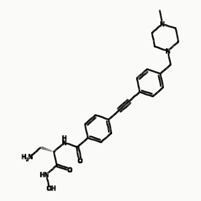 CN1CCN(Cc2ccc(C#Cc3ccc(C(=O)N[C@@H](CN)C(=O)NO)cc3)cc2)CC1